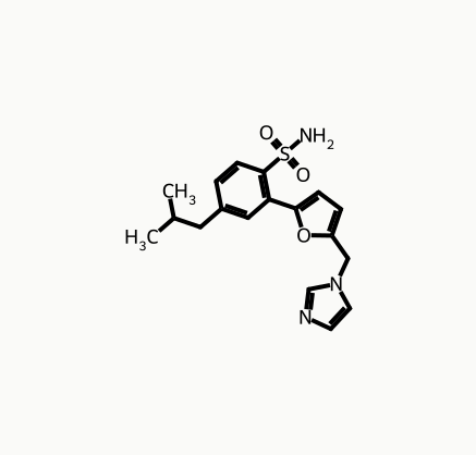 CC(C)Cc1ccc(S(N)(=O)=O)c(-c2ccc(Cn3ccnc3)o2)c1